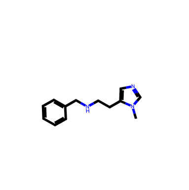 Cn1cncc1CCNCc1ccccc1